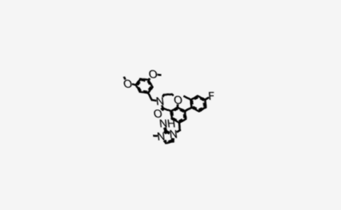 COc1cc(CN2CCOc3c(cc(Cn4ccn(C)c4=N)cc3-c3ccc(F)cc3C)C2=O)cc(OC)c1